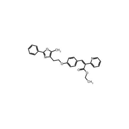 CCOC(=O)C(=Cc1ccc(OCCc2nc(-c3ccccc3)oc2C)cc1)c1ccccn1